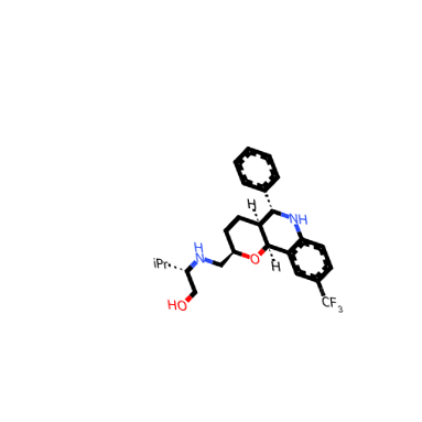 CC(C)[C@@H](CO)NC[C@H]1CC[C@@H]2[C@H](O1)c1cc(C(F)(F)F)ccc1N[C@H]2c1ccccc1